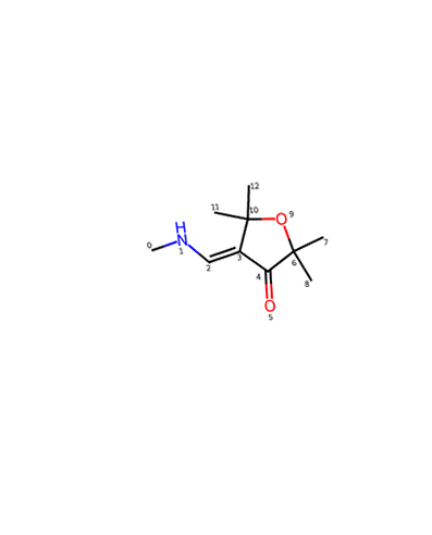 CNC=C1C(=O)C(C)(C)OC1(C)C